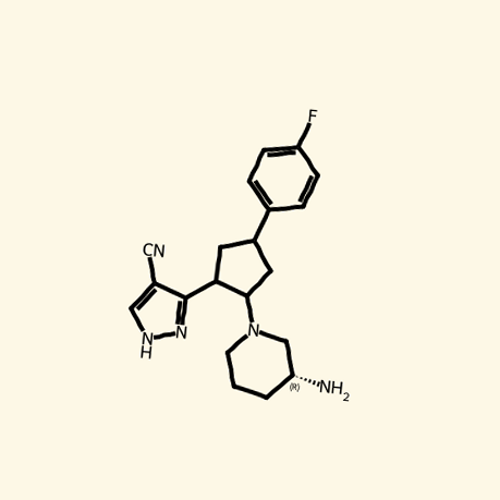 N#Cc1c[nH]nc1C1CC(c2ccc(F)cc2)CC1N1CCC[C@@H](N)C1